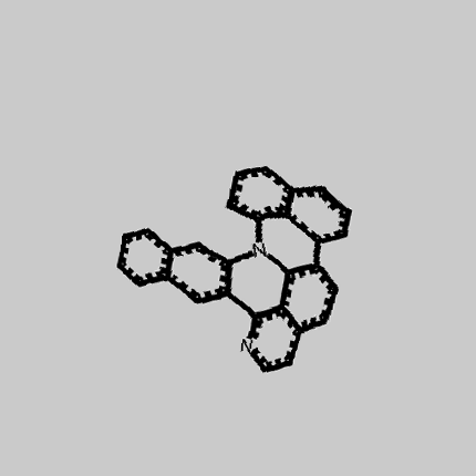 c1ccc2cc3c(cc2c1)-c1nccc2ccc4c(c12)N3c1cccc2cccc-4c12